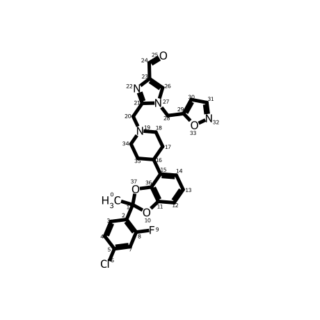 CC1(c2ccc(Cl)cc2F)Oc2cccc(C3CCN(Cc4nc(C=O)cn4Cc4ccno4)CC3)c2O1